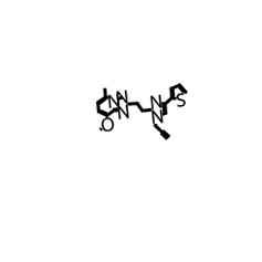 C#CCn1cc(-c2cccs2)nc1CCc1nc2c(OC)ccc(C)n2n1